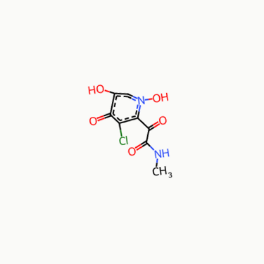 CNC(=O)C(=O)c1c(Cl)c(=O)c(O)cn1O